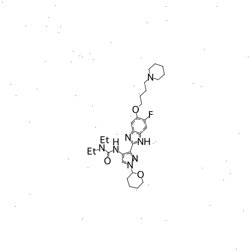 CCN(CC)C(=O)Nc1cn(C2CCCCO2)nc1-c1nc2cc(OCCCCN3CCCCC3)c(F)cc2[nH]1